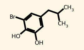 CC(C)Cc1cc(O)c(O)c(Br)c1